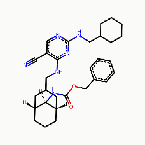 N#Cc1cnc(NCC2CCCCC2)nc1NCC1C[C@H]2CCC[C@@H](C1)[C@@H]2NC(=O)OCc1ccccc1